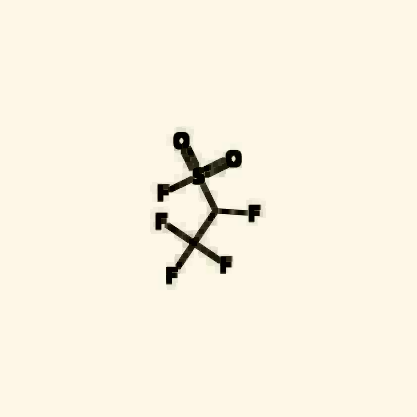 O=S(=O)(F)C(F)C(F)(F)F